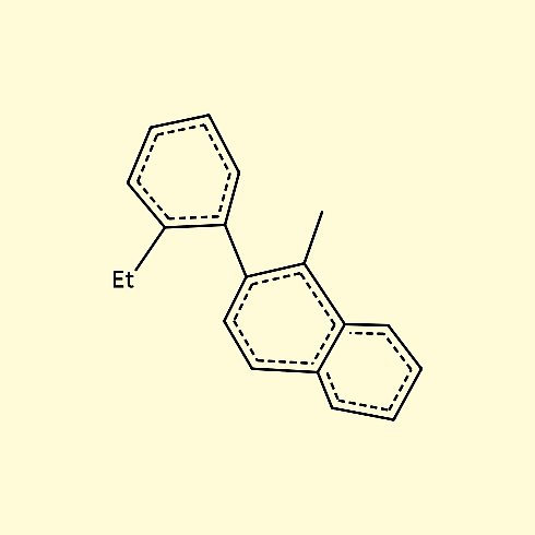 CCc1ccccc1-c1ccc2ccccc2c1C